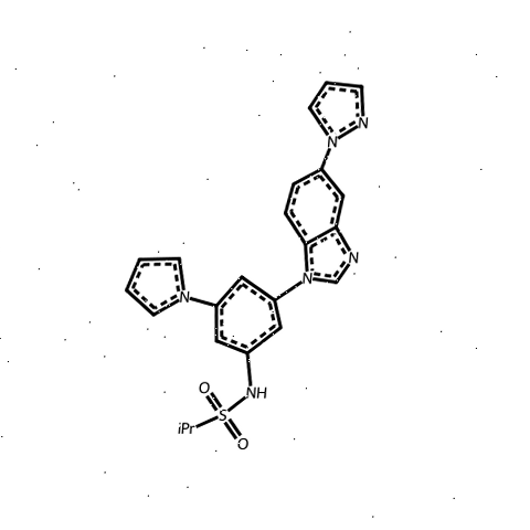 CC(C)S(=O)(=O)Nc1cc(-n2cccc2)cc(-n2cnc3cc(-n4cccn4)ccc32)c1